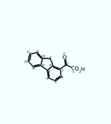 O=C(O)C(=O)c1cccc2c1Cc1ccccc1-2